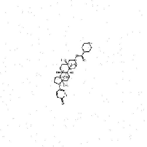 C[C@]12CC[C@H](OC(=O)N3CCNCC3)C[C@@]1(O)CC[C@@H]1[C@@H]2CC[C@]2(C)[C@@H](c3ccc(=O)oc3)CC[C@]12O